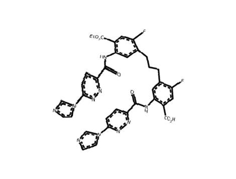 CCOC(=O)c1cc(F)c(CCCc2cc(NC(=O)c3ccc(-n4ccnc4)nn3)c(C(=O)O)cc2F)cc1NC(=O)c1ccc(-n2ccnc2)nn1